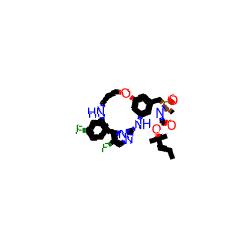 CCCC(C)(C)OC(=O)N=S(C)(=O)Cc1cc2cc(c1)OCCCNc1cc(F)ccc1-c1nc(ncc1F)N2